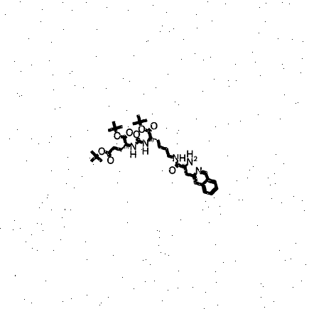 CC(C)(C)OC(=O)CC[C@H](NC(=O)N[C@@H](CCCCNC(=O)[C@@H](N)Cc1cc2ccccc2cn1)C(=O)OC(C)(C)C)C(=O)OC(C)(C)C